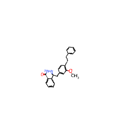 COc1cc(Cc2n[nH]c(=O)c3ccccc23)ccc1CCc1ccccc1